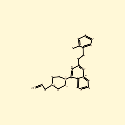 Cc1ccccc1CCc1nc(N2CCN(CC=O)CC2)c2ccccc2n1